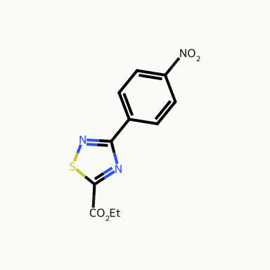 CCOC(=O)c1nc(-c2ccc([N+](=O)[O-])cc2)ns1